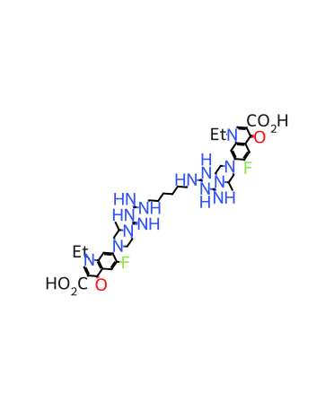 CCn1cc(C(=O)O)c(=O)c2cc(F)c(N3CCN(C(=N)NC(=N)NCCCCCCNC(=N)NC(=N)N4CCN(c5cc6c(cc5F)c(=O)c(C(=O)O)cn6CC)CC4C)C(C)C3)cc21